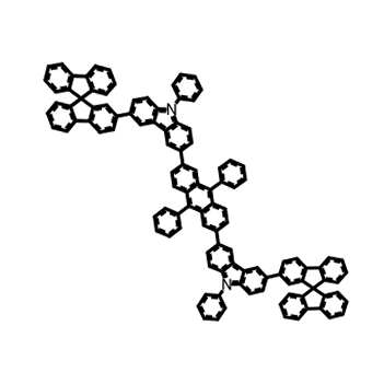 c1ccc(-c2c3ccc(-c4ccc5c(c4)c4cc(-c6ccc7c(c6)C6(c8ccccc8-c8ccccc86)c6ccccc6-7)ccc4n5-c4ccccc4)cc3c(-c3ccccc3)c3ccc(-c4ccc5c(c4)c4cc(-c6ccc7c(c6)C6(c8ccccc8-c8ccccc86)c6ccccc6-7)ccc4n5-c4ccccc4)cc23)cc1